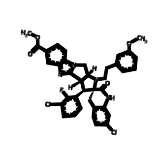 COC(=O)c1ccc2c(c1)nc1n2C[C@H]2[C@@H]1[C@H](c1cccc(Cl)c1F)[C@@]1(Cc3ccc(Cl)cc3NC1=O)N2CCc1cccc(OC)c1